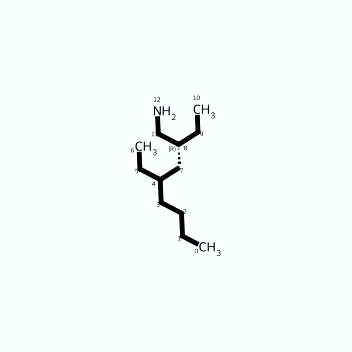 CCCCC(CC)C[C@@H](CC)CN